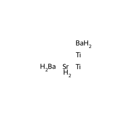 [BaH2].[BaH2].[SrH2].[Ti].[Ti]